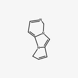 C1=CC2=CN3CN=CC=C3N2C1